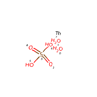 O.O.O=S(=O)(O)O.[Th]